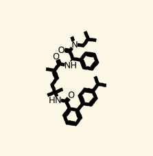 C/C(=C\CC(C)(C)NC(=O)c1ccccc1-c1ccc(C(C)C)cc1)C(=O)N[C@H](C(=O)N(C)CC(C)C)c1ccccc1